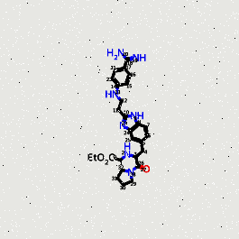 CCOC(=O)CNC(Cc1ccc2[nH]c(CCNc3ccc(C(=N)N)cc3)nc2c1)C(=O)N1CCCC1